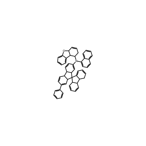 C1=CCC2C(=C1)C1(C3C=CC=CC23)C2C=C(c3ccccc3)C=CC2C2C=CC(N(c3cccc4ccccc34)C3CC=CC4Oc5ccccc5C43)=CC21